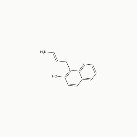 NC=CCc1c(O)ccc2ccccc12